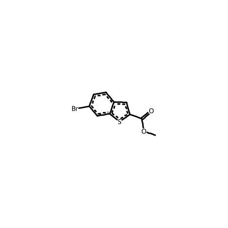 COC(=O)c1cc2ccc(Br)cc2s1